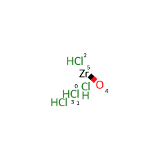 Cl.Cl.Cl.Cl.[O]=[Zr]